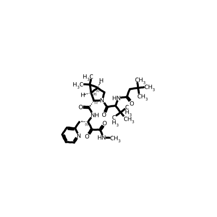 CNC(=O)C(=O)[C@H](Cc1ccccn1)NC(=O)[C@@H]1[C@@H]2[C@H](CN1C(=O)C(NC(=O)CC(C)(C)C)C(C)(C)C)C2(C)C